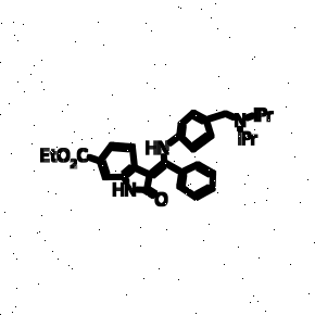 CCOC(=O)c1ccc2c(c1)NC(=O)C2=C(Nc1ccc(CN(C(C)C)C(C)C)cc1)c1ccccc1